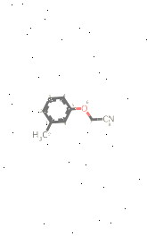 Cc1cccc(OCC#N)c1